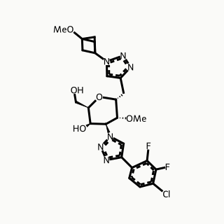 CO[C@@H]1[C@@H](n2cc(-c3ccc(Cl)c(F)c3F)nn2)[C@@H](O)[C@@H](CO)O[C@@H]1Cc1cn(C23CC(OC)(C2)C3)nn1